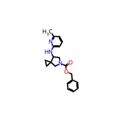 Cc1cccc(NC2CN(C(=O)OCc3ccccc3)CC23CC3)n1